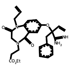 C=CCN1C(=O)CN(CCC(=O)OCC)C(=O)c2cc(OC(C=C)(Cc3ccccc3)C(=N)N)ccc21